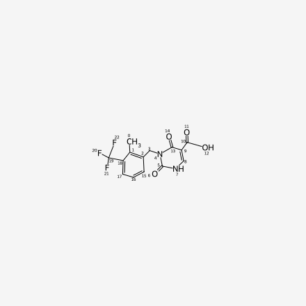 Cc1c(Cn2c(=O)[nH]cc(C(=O)O)c2=O)cccc1C(F)(F)F